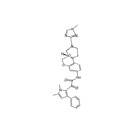 Cc1cc(-c2ccccc2)c(C(=O)C(=O)Nc2ccc3c(c2)OC[C@@H]2CN(c4ncn(C)n4)CCN32)n1C